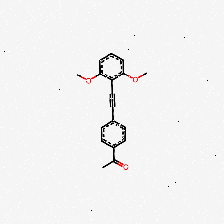 COc1cccc(OC)c1C#Cc1ccc(C(C)=O)cc1